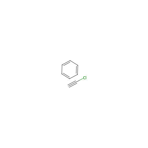 C#CCl.c1ccccc1